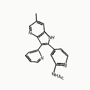 CC(=O)Nc1cc(-c2[nH]c3cc(C)cnc3c2-c2ccccn2)ccn1